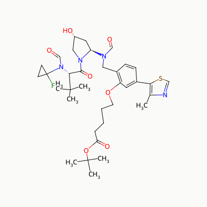 Cc1ncsc1-c1ccc(CN(C=O)[C@@H]2C[C@@H](O)CN2C(=O)[C@@H](N(C=O)C2(F)CC2)C(C)(C)C)c(OCCCCC(=O)OC(C)(C)C)c1